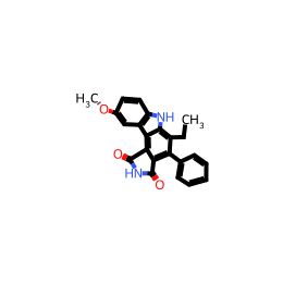 CCc1c(-c2ccccc2)c2c(c3c1[nH]c1ccc(OC)cc13)C(=O)NC2=O